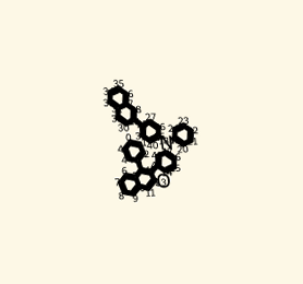 c1ccc(-c2c3ccccc3cc3oc4ccc(N(c5ccccc5)c5ccc(-c6ccc7ccccc7c6)cc5)cc4c23)cc1